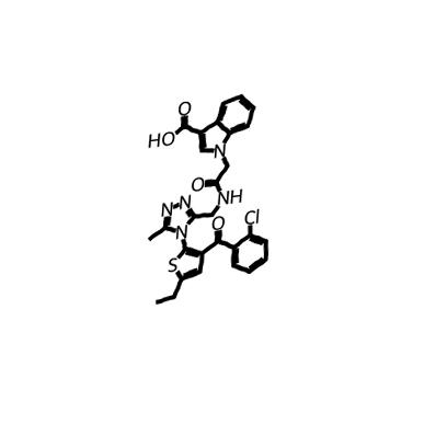 CCc1cc(C(=O)c2ccccc2Cl)c(-n2c(C)nnc2CNC(=O)Cn2cc(C(=O)O)c3ccccc32)s1